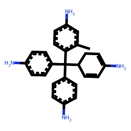 Cc1cc(N)ccc1C(c1ccc(N)cc1)(c1ccc(N)cc1)C1C=CC(N)=CC1